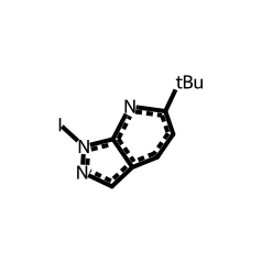 CC(C)(C)c1ccc2cnn(I)c2n1